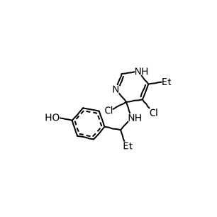 CCC1=C(Cl)C(Cl)(NC(CC)c2ccc(O)cc2)N=CN1